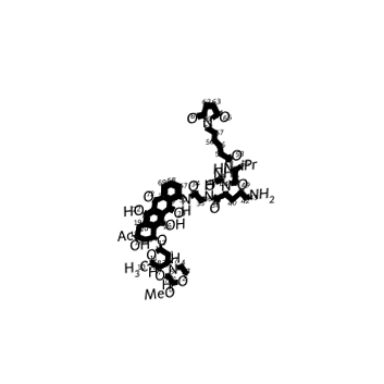 CO[C@H]1OCCN2[C@@H]1O[C@@H]1[C@H](C)O[C@@H](O[C@H]3C[C@](O)(C(C)=O)Cc4c(O)c5c(c(O)c43)C(=O)c3c(NC(=O)CNC(=O)C(CCCN)N(C(N)=O)C(=O)C(NC(=O)CCCCCN4C(=O)C=CC4=O)C(C)C)cccc3C5=O)C[C@@H]12